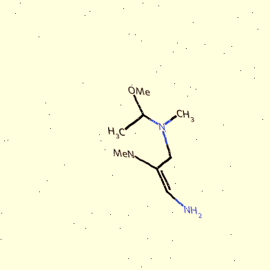 CN/C(=C/N)CN(C)C(C)OC